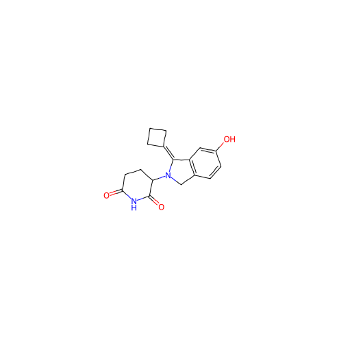 O=C1CCC(N2Cc3ccc(O)cc3C2=C2CCC2)C(=O)N1